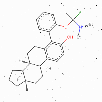 CCN(CC)C(C)(F)Oc1ccccc1-c1c(O)ccc2c1CC[C@@H]1[C@@H]2CC[C@]2(C)CCC[C@@H]12